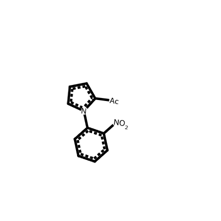 CC(=O)c1cccn1-c1ccccc1[N+](=O)[O-]